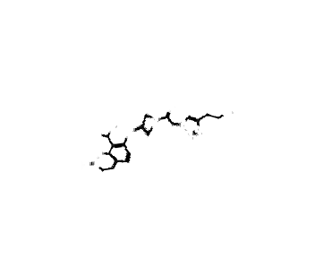 O=C(Cn1cc(CCO)nn1)N1CC(Oc2ccc3c(c2C(O)O)OB(O)CC3)C1